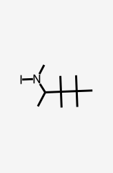 CC(N(C)I)C(C)(C)C(C)(C)C